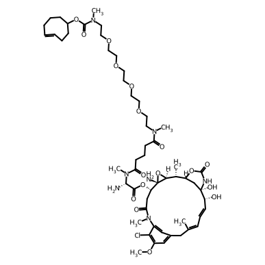 COc1cc2cc(c1Cl)N(C)C(=O)C[C@H](OC(=O)[C@H](N)N(C)C(=O)CCCC(=O)N(C)CCOCCOCCOCCOCCN(C)C(=O)OC1CC/C=C/CCC1)[C@]1(N)O[C@H]1[C@H](C)[C@@H]1C[C@@](O)(NC(=O)O1)[C@H](O)/C=C/C=C(\C)C2